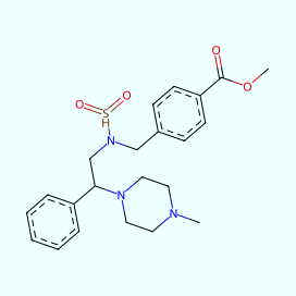 COC(=O)c1ccc(CN(CC(c2ccccc2)N2CCN(C)CC2)[SH](=O)=O)cc1